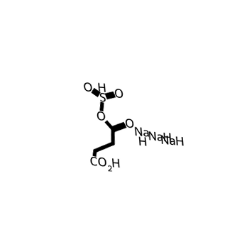 O=C(O)CCC(=O)O[SH](=O)=O.[NaH].[NaH].[NaH]